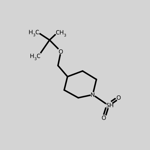 CC(C)(C)OCC1CCN([SH](=O)=O)CC1